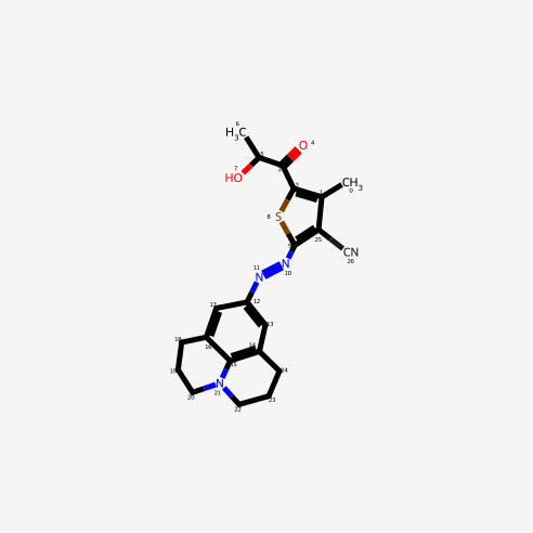 Cc1c(C(=O)C(C)O)sc(N=Nc2cc3c4c(c2)CCCN4CCC3)c1C#N